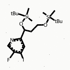 CC(C)(C)[Si](C)(C)OCCC(O[Si](C)(C)C(C)(C)C)c1cc(I)c(F)cn1